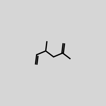 C=CC(C)CC(=C)C